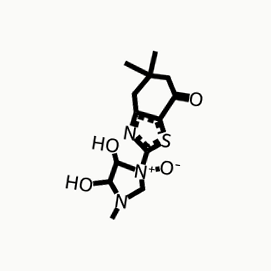 CN1C[N+]([O-])(c2nc3c(s2)C(=O)CC(C)(C)C3)C(O)C1O